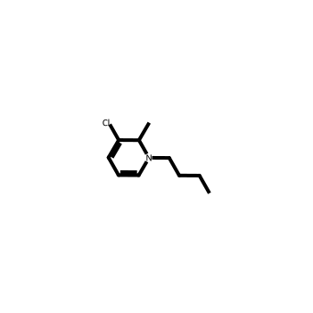 CCCCN1C=CC=C(Cl)C1C